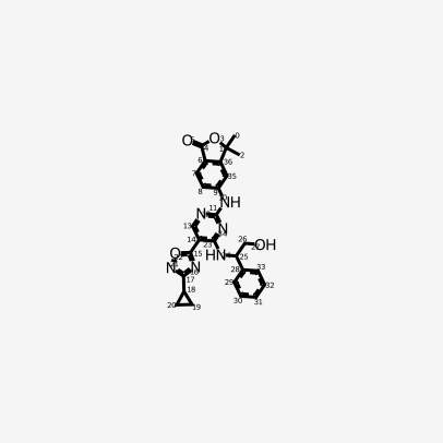 CC1(C)OC(=O)c2ccc(Nc3ncc(-c4nc(C5CC5)no4)c(NC(CO)c4ccccc4)n3)cc21